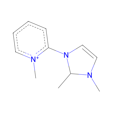 CC1N(C)C=CN1c1cccc[n+]1C